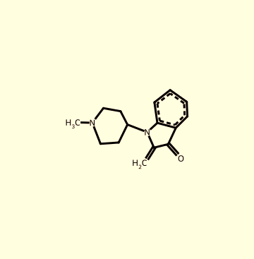 C=C1C(=O)c2ccccc2N1C1CCN(C)CC1